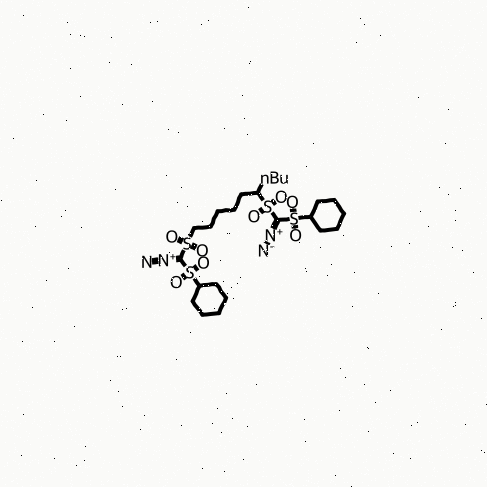 CCCCC(CCCCCS(=O)(=O)C(=[N+]=[N-])S(=O)(=O)C1CCCCC1)S(=O)(=O)C(=[N+]=[N-])S(=O)(=O)C1CCCCC1